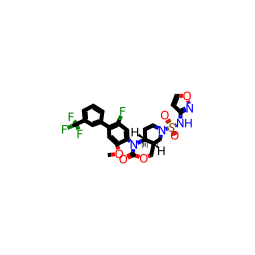 COc1cc(-c2cccc(C(F)(F)F)c2)c(F)cc1N1C(=O)OC[C@@H]2CN(S(=O)(=O)Nc3ccon3)CC[C@H]21